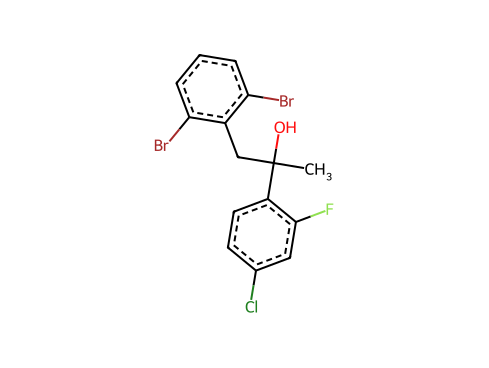 CC(O)(Cc1c(Br)cccc1Br)c1ccc(Cl)cc1F